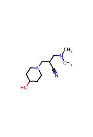 CN(C)CC(C#N)CN1CCC(O)CC1